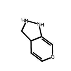 C1=CC2CNNC2=CO1